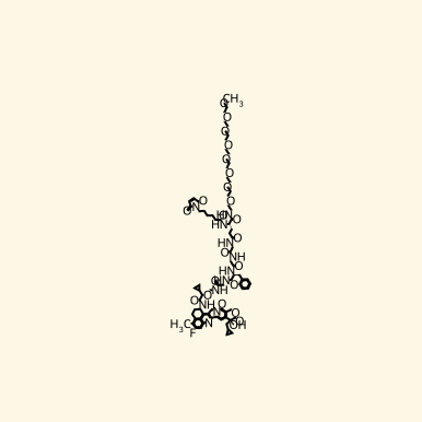 COCCOCCOCCOCCOCCOCCOCCOCCNC(=O)[C@H](CCC(=O)NCC(=O)NCC(=O)N[C@@H](Cc1ccccc1)C(=O)NCC(=O)NCO[C@@H](C(=O)N[C@H]1CCc2c(C)c(F)cc3nc4c(c1c23)Cn1c-4cc2c(c1=O)COC(=O)[C@]2(O)CC1CC1)C1CC1)NC(=O)CCCCCN1C(=O)C=CC1=O